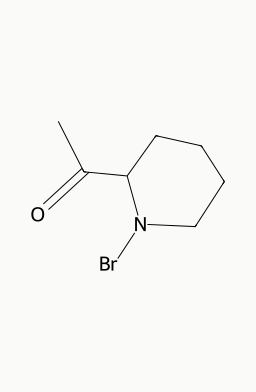 CC(=O)C1CCCCN1Br